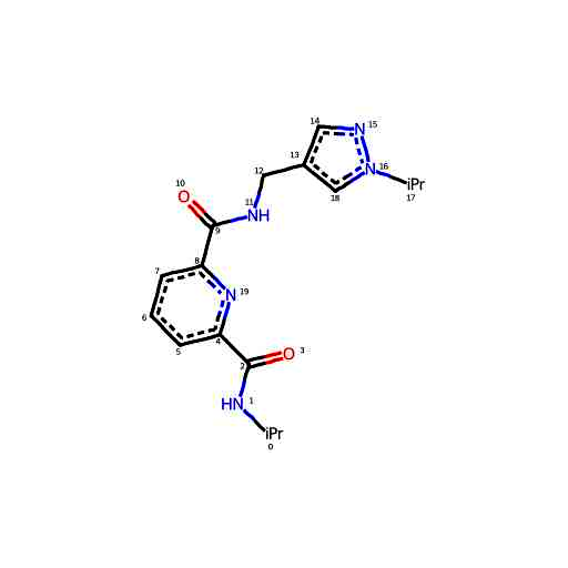 CC(C)NC(=O)c1cccc(C(=O)NCc2cnn(C(C)C)c2)n1